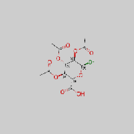 CC(=O)O[C@@H]1[C@@H](OC(C)=O)[C@@H](Br)O[C@H](C(=O)O)[C@H]1OC(C)=O